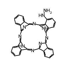 NNc1cccc2c3nc4nc(nc5[nH]c(nc6nc(nc([nH]3)c12)-c1ccccc1-6)c1ccccc51)-c1ccccc1-4